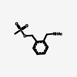 CC(=O)NCc1ccccc1COS(C)(=O)=O